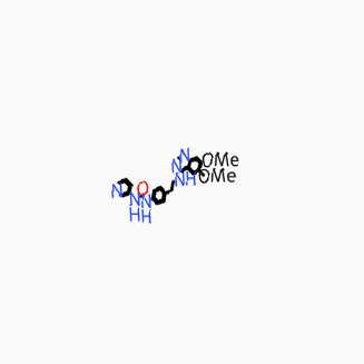 COc1cc2ncnc(NCCc3ccc(NC(=O)Nc4cccnc4)cc3)c2cc1OC